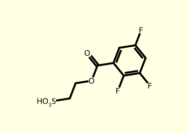 O=C(OCCS(=O)(=O)O)c1cc(F)cc(F)c1F